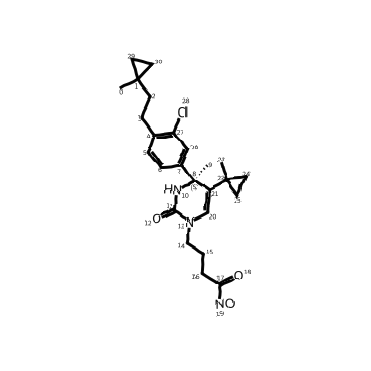 CC1(CCc2ccc([C@]3(C)NC(=O)N(CCCC(=O)N=O)C=C3C3(C)CC3)cc2Cl)CC1